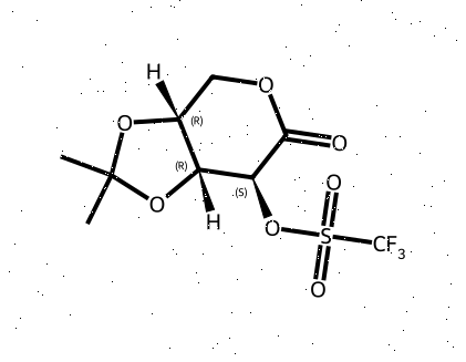 CC1(C)O[C@H]2[C@H](OS(=O)(=O)C(F)(F)F)C(=O)OC[C@H]2O1